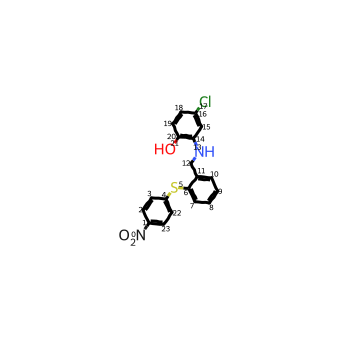 O=[N+]([O-])c1ccc(Sc2ccccc2CNc2cc(Cl)ccc2O)cc1